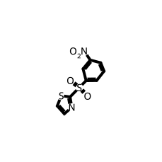 O=[N+]([O-])c1cccc(S(=O)(=O)c2nccs2)c1